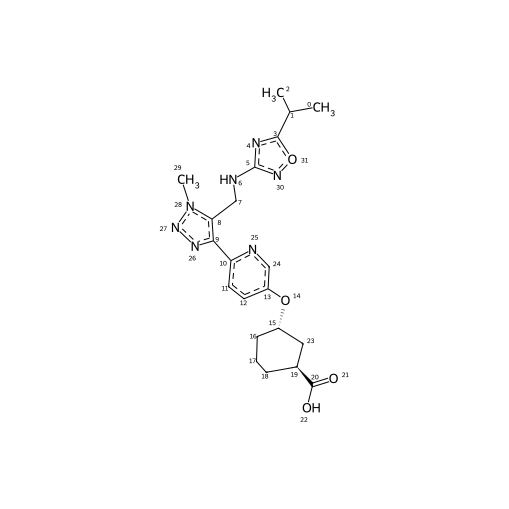 CC(C)c1nc(NCc2c(-c3ccc(O[C@H]4CCC[C@H](C(=O)O)C4)cn3)nnn2C)no1